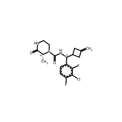 C=C1CC([C@H](NC(=O)N2CCNC(=O)[C@H]2C)c2ccc(F)c(Cl)c2F)C1